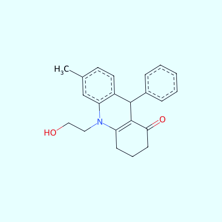 Cc1ccc2c(c1)N(CCO)C1=C(C(=O)CCC1)C2c1ccccc1